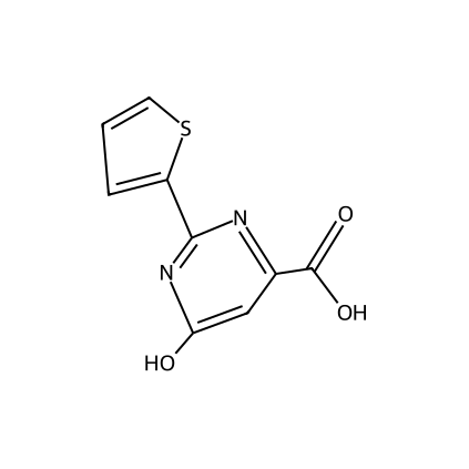 O=C(O)c1cc(O)nc(-c2cccs2)n1